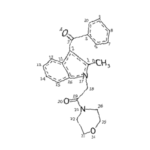 Cc1c(C(=O)c2ccccc2)c2ccccc2n1CC(=O)N1CCOCC1